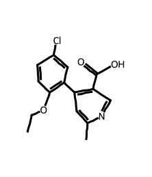 CCOc1ccc(Cl)cc1-c1cc(C)ncc1C(=O)O